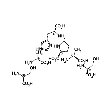 C[C@H](N)C(=O)O.C[C@H](N)C(=O)O.N[C@@H](CO)C(=O)O.N[C@@H](CO)C(=O)O.N[C@@H](Cc1c[nH]cn1)C(=O)O.O=C(O)[C@@H]1CCCN1